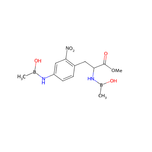 COC(=O)C(Cc1ccc(NB(C)O)cc1[N+](=O)[O-])NB(C)O